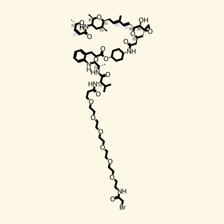 CC(/C=C/[C@H]1O[C@H](CC(=O)N[C@H]2CC[C@@H](OC(=O)CCc3ccccc3NC(=O)[C@H](C)NC(=O)[C@@H](NC(=O)CCOCCOCCOCCOCCOCCOCCNC(=O)CBr)C(C)C)CC2)C[C@@]2(CO2)[C@@H]1O)=C\C[C@@H]1O[C@H](C)C(NC(=O)/C=C\[C@H](C)O)C[C@@H]1C